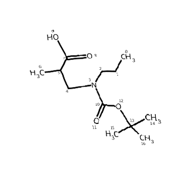 CCCN(CC(C)C(=O)O)C(=O)OC(C)(C)C